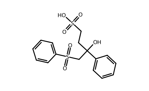 O=S(=O)(O)CCC(O)(CS(=O)(=O)c1ccccc1)c1ccccc1